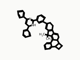 CC1(C)C2=C(CCC(c3cccc(C4=NC(c5ccccc5)=CC(c5ccccc5)N4)c3)=C2)C2=CCC3C(=C21)c1ccccc1C1CCC31